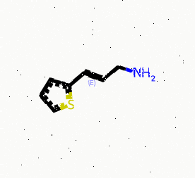 NC/C=C/c1cccs1